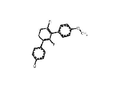 COc1ccc(C2=C(Cl)[CH]CC(c3ccc(Cl)cc3)=C2F)cc1